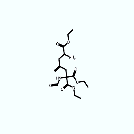 C=C(CC(N)C(=O)OCC)CC(NC=O)(C(=O)OCC)C(=O)OCC